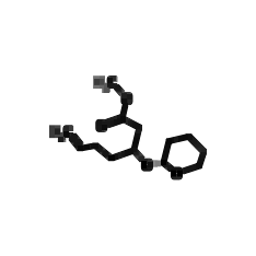 C=CCCC(CC(=O)OC)O[C@@H]1CCCCO1